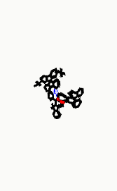 CC(C)(C)c1ccc2c(c1)C1(c3cc(C(C)(C)C)ccc3-2)c2ccccc2-c2c(N(c3ccc4c(c3)C3(CCc5ccccc53)c3ccccc3-4)c3ccccc3-c3cccc4c3C(C)(C)c3ccccc3-4)cccc21